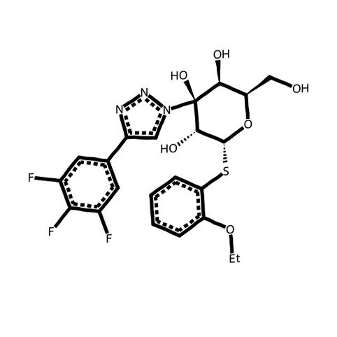 CCOc1ccccc1S[C@H]1O[C@H](CO)[C@H](O)[C@@](O)(n2cc(-c3cc(F)c(F)c(F)c3)nn2)[C@H]1O